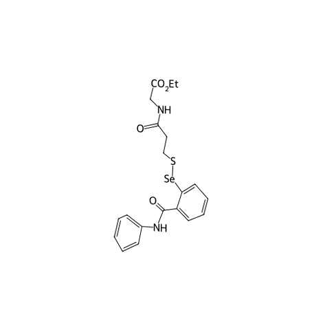 CCOC(=O)CNC(=O)CCS[Se]c1ccccc1C(=O)Nc1ccccc1